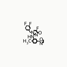 Cc1ccc(-c2ncco2)cc1Nc1nc(=O)c(F)cn1CC1=CCC(F)C(F)=C1